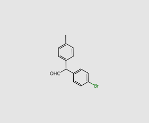 Cc1ccc(C(C=O)c2ccc(Br)cc2)cc1